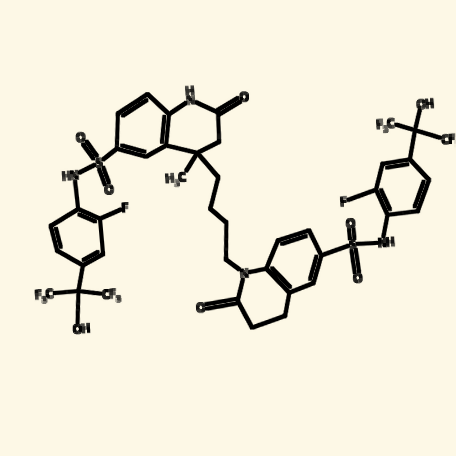 CC1(CCCCN2C(=O)CCc3cc(S(=O)(=O)Nc4ccc(C(O)(C(F)(F)F)C(F)(F)F)cc4F)ccc32)CC(=O)Nc2ccc(S(=O)(=O)Nc3ccc(C(O)(C(F)(F)F)C(F)(F)F)cc3F)cc21